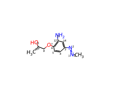 CN=Nc1ccc(OCC(C)O)c(N)c1